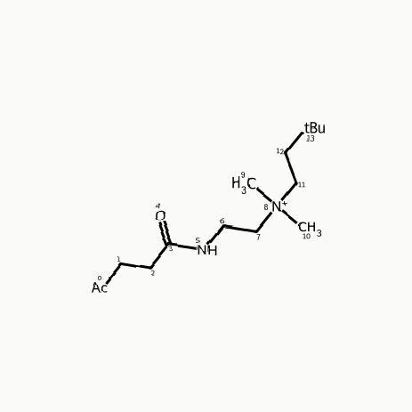 CC(=O)CCC(=O)NCC[N+](C)(C)CCC(C)(C)C